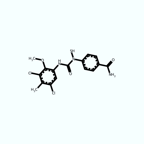 COc1c(NC(=O)N(S)c2ccc(C(N)=O)cc2)cc(Cl)c(C)c1Cl